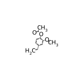 C=Cc1ccc(OC(C)=O)c(OC)c1